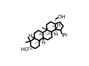 CC(C)C1CC[C@]2(CO)CC[C@]3(C)[C@H](CC[C@@H]4[C@@]5(C)CC[C@H](O)C(C)(C)[C@@H]5CC[C@]43C)[C@@H]12